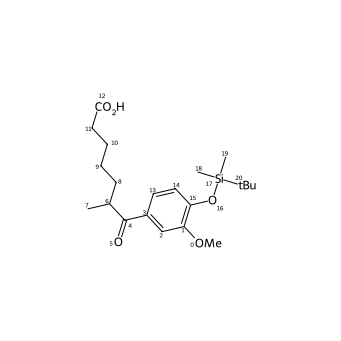 COc1cc(C(=O)C(C)CCCCC(=O)O)ccc1O[Si](C)(C)C(C)(C)C